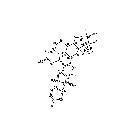 Cc1ccc(S(=O)(=O)[SH](C)(=O)c2ccc([C@H]3CC4(C)C(CC[C@@]4(O)C(C)(F)C(C)(F)F)C4CCC5=CC(=O)CCC5=C43)cc2)cc1